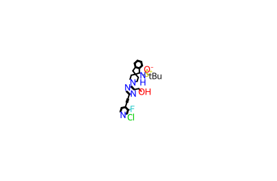 CC(C)(C)[S+]([O-])N[C@@H]1c2ccccc2CC12CCN(c1ncc(C#Cc3ccnc(Cl)c3F)nc1CO)CC2